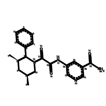 C[C@H]1C[C@H](C)C(c2ccccc2)N(C(=O)C(=O)Nc2cncc(C(N)=O)c2)C1